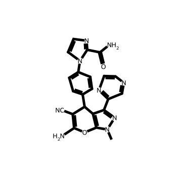 Cn1nc(-c2cnccn2)c2c1OC(N)=C(C#N)C2c1ccc(-n2ccnc2C(N)=O)cc1